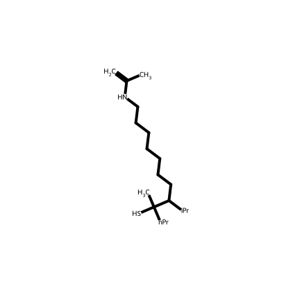 C=C(C)NCCCCCCCC(C(C)C)C(C)(S)CCC